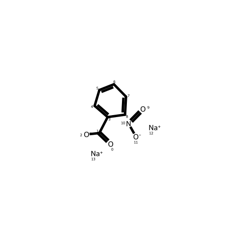 O=C([O-])c1ccccc1.O=N[O-].[Na+].[Na+]